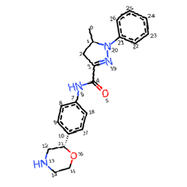 CC1CC(C(=O)Nc2ccc([C@H]3CNCCO3)cc2)=NN1c1ccccc1